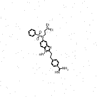 CCCn1c(CCc2ccc(C(=N)N)cc2)nc2cc(N(CCN(CC)CC)S(=O)(=O)c3ccccc3)ccc21